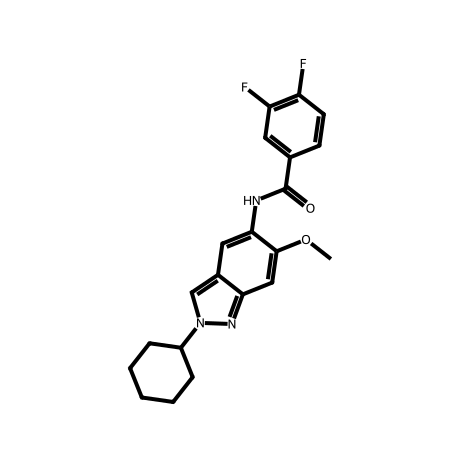 COc1cc2nn(C3CCCCC3)cc2cc1NC(=O)c1ccc(F)c(F)c1